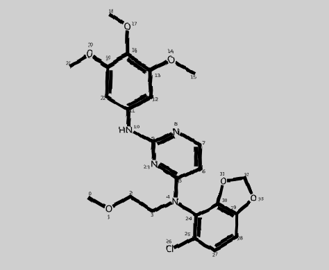 COCCN(c1ccnc(Nc2cc(OC)c(OC)c(OC)c2)n1)c1c(Cl)ccc2c1OCO2